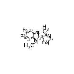 CCn1c(-c2cncnc2C)nc2cc(F)c(F)cc21